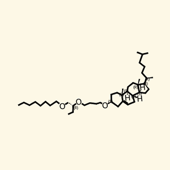 CCCCCCCCOC[C@@H](CC)OCCCCO[C@H]1CC[C@@]2(C)C(=CC[C@H]3[C@@H]4CC[C@H]([C@H](C)CCCC(C)C)[C@@]4(C)CC[C@@H]32)C1